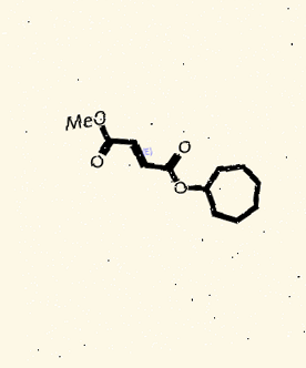 COC(=O)/C=C/C(=O)OC1CCCCCC1